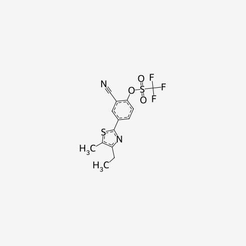 CCc1nc(-c2ccc(OS(=O)(=O)C(F)(F)F)c(C#N)c2)sc1C